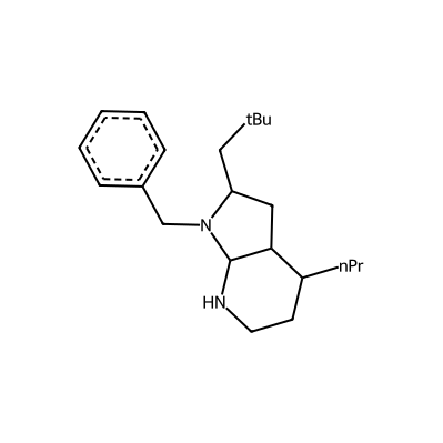 CCCC1CCNC2C1CC(CC(C)(C)C)N2Cc1ccccc1